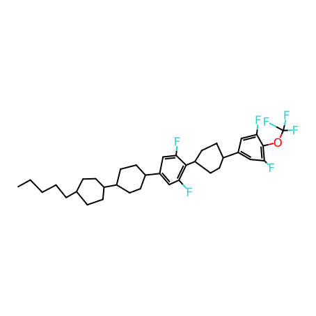 CCCCCC1CCC(C2CCC(c3cc(F)c(C4CCC(c5cc(F)c(OC(F)(F)F)c(F)c5)CC4)c(F)c3)CC2)CC1